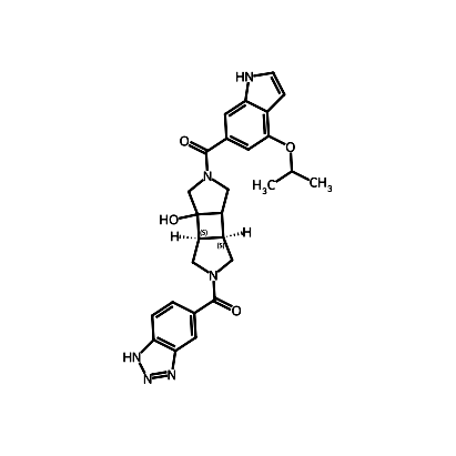 CC(C)Oc1cc(C(=O)N2CC3[C@H]4CN(C(=O)c5ccc6[nH]nnc6c5)C[C@H]4C3(O)C2)cc2[nH]ccc12